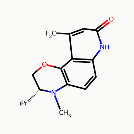 CC(C)[C@@H]1COc2c(ccc3[nH]c(=O)cc(C(F)(F)F)c23)N1C